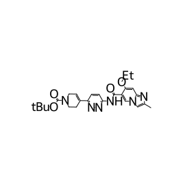 CCOc1cc2nc(C)cn2cc1C(=O)Nc1ccc(C2=CCN(C(=O)OC(C)(C)C)CC2)nn1